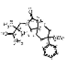 CN[C@]1(c2ccccc2)CC[C@]2(CC1)CN(CC(C)(C)C(N)=O)C(=O)N2